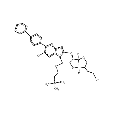 C[Si](C)(C)CCOCn1c(O[C@@H]2CO[C@@H]3C(CCO)CO[C@@H]32)nc2nc(-c3ccc(-c4ccccc4)cc3)c(Cl)cc21